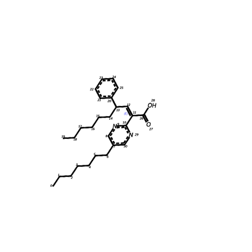 CCCCCCCc1cnc(/C(=C\C(CCCCCC)c2ccccc2)C(=O)O)nc1